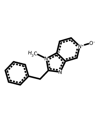 Cn1c(Cc2ccccc2)nc2c[n+]([O-])ccc21